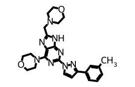 Cc1cccc(-c2ccn(-c3nc(N4CCOCC4)c4nc(CN5CCOCC5)[nH]c4n3)n2)c1